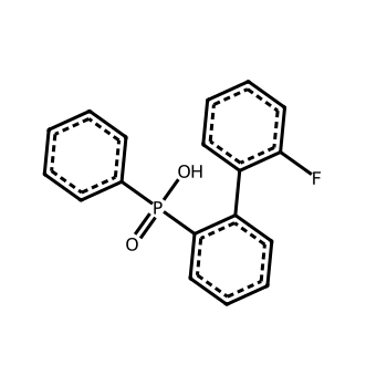 O=P(O)(c1ccccc1)c1ccccc1-c1ccccc1F